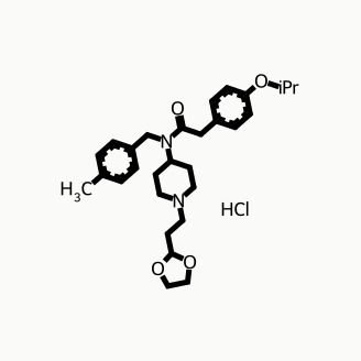 Cc1ccc(CN(C(=O)Cc2ccc(OC(C)C)cc2)C2CCN(CCC3OCCO3)CC2)cc1.Cl